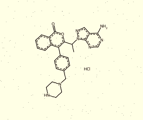 CC(c1oc(=O)c2ccccc2c1-c1ccc(CN2CCNCC2)cc1)n1ncc2c(N)ncnc21.Cl